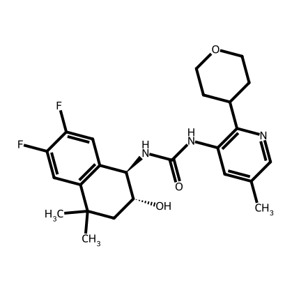 Cc1cnc(C2CCOCC2)c(NC(=O)N[C@@H]2c3cc(F)c(F)cc3C(C)(C)C[C@H]2O)c1